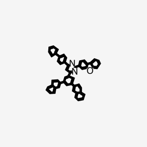 c1ccc(-c2ccc(-c3cc(-c4cc(-c5ccc6ccccc6c5)cc(-c5ccc6ccccc6c5)c4)nc(-c4ccc5c(c4)oc4ccccc45)n3)cc2)cc1